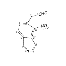 O=CCc1ccc2cnccc2c1[N+](=O)[O-]